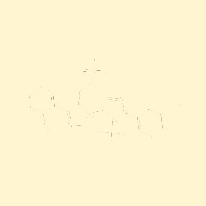 CS(=O)(=O)OCc1c(-c2c(F)cccc2Cl)noc1-c1cnn(-c2cccc(Cl)c2)c1C(F)(F)F